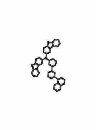 c1cc(-c2cccc(N(c3ccc4sc5ccccc5c4c3)c3ccc4sc5ccccc5c4c3)c2)cc(-c2cccc3ccccc23)c1